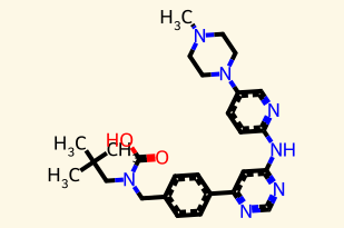 CN1CCN(c2ccc(Nc3cc(-c4ccc(CN(CC(C)(C)C)C(=O)O)cc4)ncn3)nc2)CC1